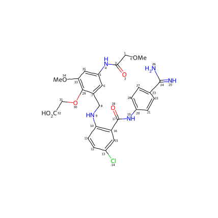 COCC(=O)Nc1cc(CNc2ccc(Cl)cc2C(=O)Nc2ccc(C(=N)N)cc2)c(OCC(=O)O)c(OC)c1